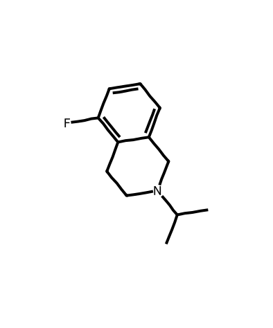 CC(C)N1CCc2c(F)cccc2C1